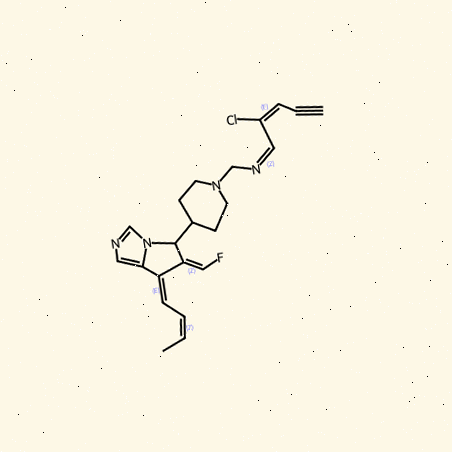 C#C/C=C(Cl)\C=N/CN1CCC(C2C(=C\F)/C(=C\C=C/C)c3cncn32)CC1